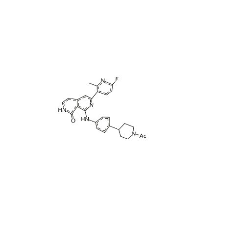 CC(=O)N1CCC(c2ccc(Nc3nc(-c4ccc(F)nc4C)cc4cc[nH]c(=O)c34)cc2)CC1